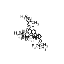 BC(B)(B)C1CN(c2nc(N3C=CC(OCC(C)(C)C(F)(F)F)N3)ccc2C(=O)NSc2cn(C)nc2C)C(C)(C)C1(B)B